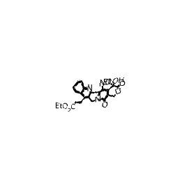 CCOC(=O)/C=C/c1c2c(nc3ccccc13)-c1c([N+](=O)[O-])c3c(c(=O)n1C2)COC(=O)[C@]3(O)CC